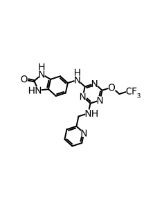 O=c1[nH]c2ccc(Nc3nc(NCc4ccccn4)nc(OCC(F)(F)F)n3)cc2[nH]1